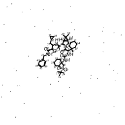 CC1([C@H](NC(=O)NC2(CS(=O)(=O)C(C)(C)C)CCCCC2)C(=O)N2C[C@H]3[C@@H]([C@H]2C(=O)NC(CC2CC2)C(=O)C(=O)NCc2ccccc2)C3(C)C)CCCCC1